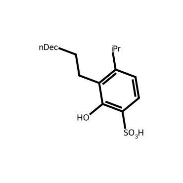 CCCCCCCCCCCCc1c(C(C)C)ccc(S(=O)(=O)O)c1O